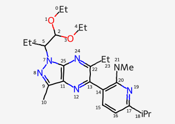 CCOC(OCC)C(CC)n1nc(C)c2nc(-c3ccc(C(C)C)nc3NC)c(CC)nc21